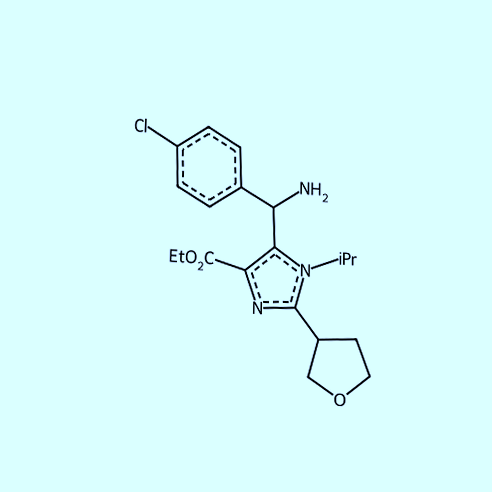 CCOC(=O)c1nc(C2CCOC2)n(C(C)C)c1C(N)c1ccc(Cl)cc1